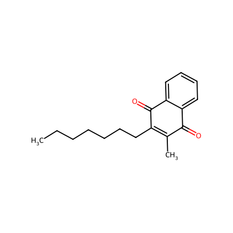 CCCCCCCC1=C(C)C(=O)c2ccccc2C1=O